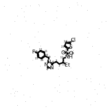 CCC(CCc1ncnn1Cc1ccc(F)cc1)CNS(=O)(=O)c1ccc(Cl)s1